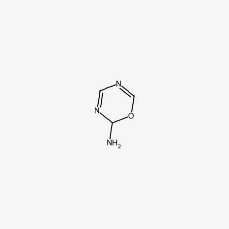 NC1N=CN=CO1